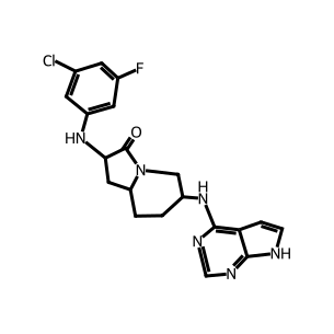 O=C1C(Nc2cc(F)cc(Cl)c2)CC2CCC(Nc3ncnc4[nH]ccc34)CN12